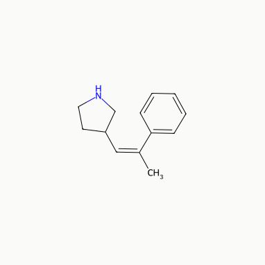 C/C(=C/C1CCNC1)c1ccccc1